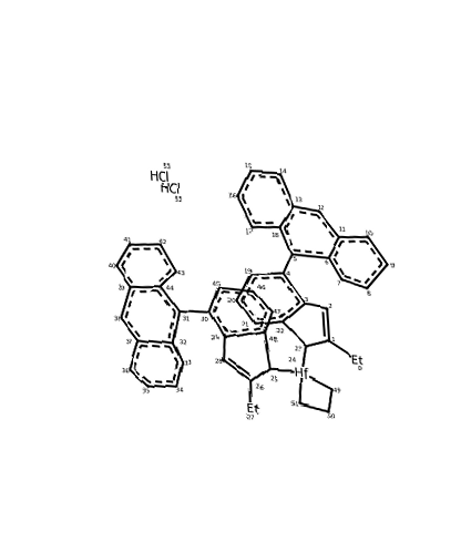 CCC1=Cc2c(-c3c4ccccc4cc4ccccc34)cccc2[CH]1[Hf]1([CH]2C(CC)=Cc3c(-c4c5ccccc5cc5ccccc45)cccc32)[CH2]C[CH2]1.Cl.Cl